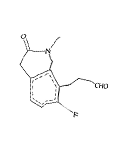 CN1C(=O)Cc2ccc(F)c(CC=O)c21